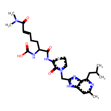 Cc1cc2[nH]c(Cn3cccc(NC(=O)C(CCC=CC(=O)N(C)C)NC(=O)O)c3=O)nc2c(CC(C)C)n1